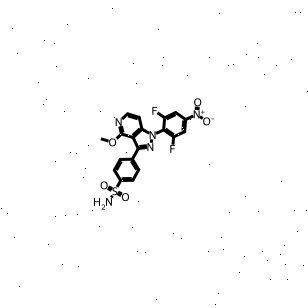 COc1nccc2c1c(-c1ccc(S(N)(=O)=O)cc1)nn2-c1c(F)cc([N+](=O)[O-])cc1F